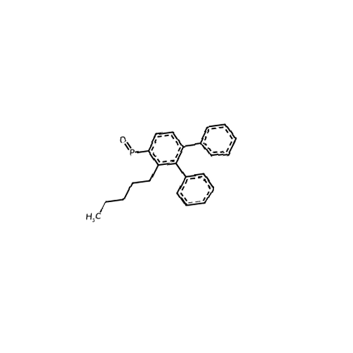 CCCCCc1c(P=O)ccc(-c2ccccc2)c1-c1ccccc1